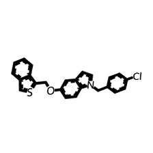 Clc1ccc(Cn2ccc3cc(OCc4scc5ccccc45)ccc32)cc1